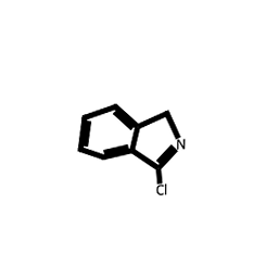 ClC1=NCc2ccccc21